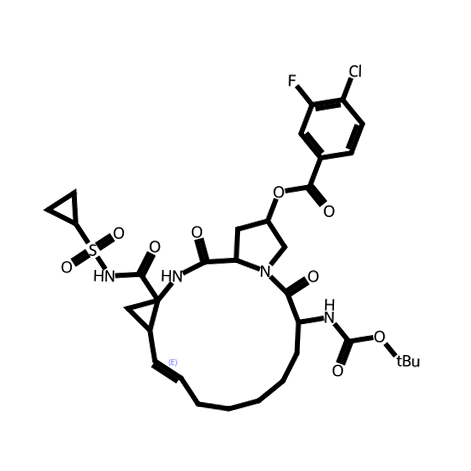 CC(C)(C)OC(=O)NC1CCCCC/C=C/C2CC2(C(=O)NS(=O)(=O)C2CC2)NC(=O)C2CC(OC(=O)c3ccc(Cl)c(F)c3)CN2C1=O